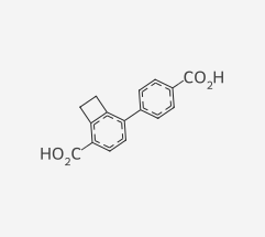 O=C(O)c1ccc(-c2ccc(C(=O)O)c3c2CC3)cc1